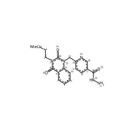 COCCn1c(=O)c2ccccc2n(Cc2ccc(C(=O)NN)cn2)c1=O